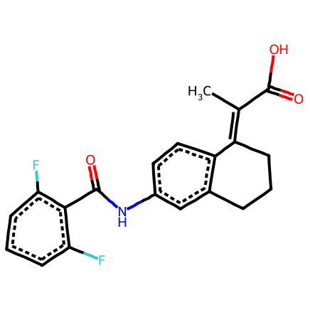 C/C(C(=O)O)=C1/CCCc2cc(NC(=O)c3c(F)cccc3F)ccc21